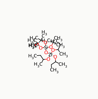 CCC(C)[O][Zr]([O]C(C)CC)([O]C(C)CC)[O][Si](OC(C)(C)C)(OC(C)(C)C)OC(C)(C)C